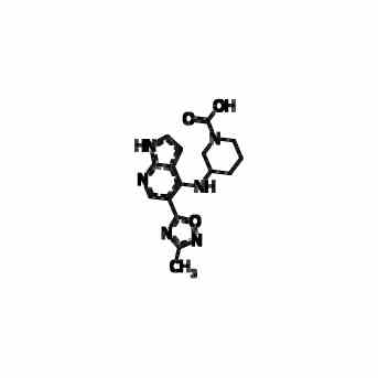 Cc1noc(-c2cnc3[nH]ccc3c2NC2CCCN(C(=O)O)C2)n1